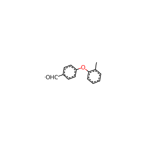 Cc1ccccc1Oc1ccc([C]=O)cc1